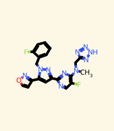 CN(Cc1nn[nH]n1)c1nc(-c2cc(-c3ccon3)n(Cc3ccccc3F)n2)ncc1F